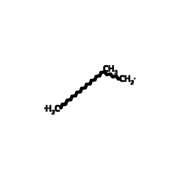 [CH2]C/C=C/CCCCCCCCCCCCCCCC(C)CCCCC[CH2]